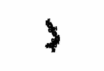 COc1c(C#N)cc(C(C)(C)C)cc1C(=O)Nc1cnc(C)c(-c2ccc(C(=O)NC3CCC(F)(F)CC3)cc2)c1